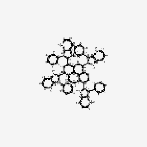 c1ccc(-n2c(-c3ccc4c(-c5nc6cccnc6n5-c5ccccc5)cc5c(-c6nc7cccnc7n6-c6ccccc6)cc(-c6nc7cccnc7n6-c6ccccc6)c6ccc3c4c65)nc3cccnc32)cc1